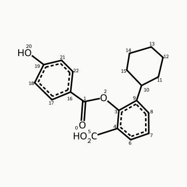 O=C(Oc1c(C(=O)O)cccc1C1CCCCC1)c1ccc(O)cc1